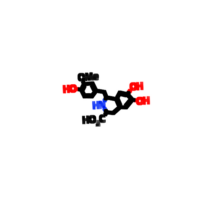 COc1cc(CC2NC(C(=O)O)Cc3cc(O)c(O)cc32)ccc1O